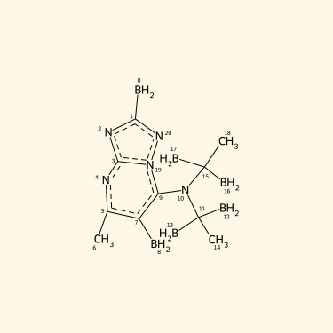 Bc1nc2nc(C)c(B)c(N(C(B)(B)C)C(B)(B)C)n2n1